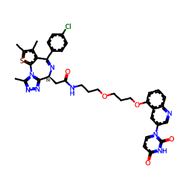 Cc1sc2c(c1C)C(c1ccc(Cl)cc1)=N[C@@H](CC(=O)NCCCOCCCOc1cccc3ncc(-n4ccc(=O)[nH]c4=O)cc13)c1nnc(C)n1-2